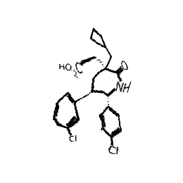 O=C(O)C[C@@]1(CC2CCC2)C[C@H](c2cccc(Cl)c2)[C@@H](c2ccc(Cl)cc2)NC1=O